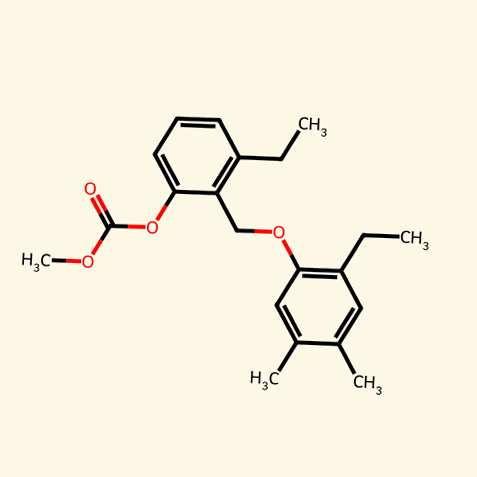 CCc1cc(C)c(C)cc1OCc1c(CC)cccc1OC(=O)OC